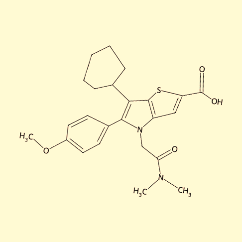 COc1ccc(-c2c(C3CCCCC3)c3sc(C(=O)O)cc3n2CC(=O)N(C)C)cc1